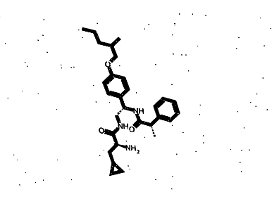 CCCC(C)COc1ccc([C@@H](CNC(=O)[C@@H](N)CC2CC2)NC(=O)[C@@H](C)c2ccccc2)cc1